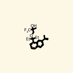 C=C(C)c1ccc2cccc(C(CC)(CC)OCC(C)(O)C(F)(F)F)c2c1